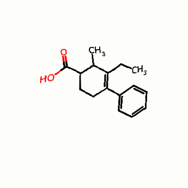 CCC1=C(c2ccccc2)CCC(C(=O)O)C1C